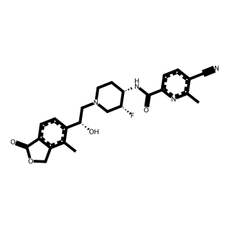 Cc1nc(C(=O)N[C@H]2CCN(C[C@H](O)c3ccc4c(c3C)COC4=O)C[C@H]2F)ccc1C#N